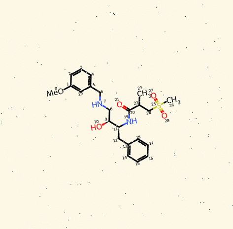 COc1cccc(CNC[C@H](O)[C@H](Cc2ccccc2)NC(=O)C(C)CS(C)(=O)=O)c1